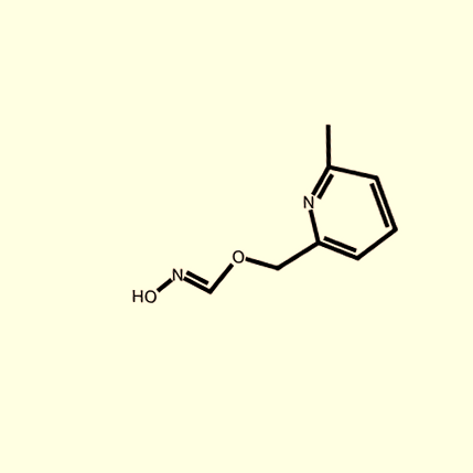 Cc1cccc(COC=NO)n1